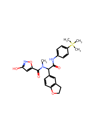 CN(C(=O)c1cc(O)no1)C(C(=O)Nc1ccc(S(C)(C)C)cc1)c1ccc2c(c1)CCO2